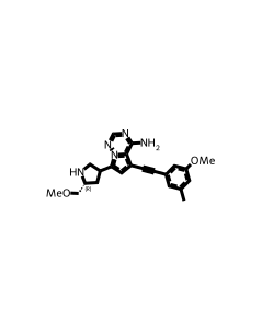 COC[C@H]1CC(c2cc(C#Cc3cc(C)cc(OC)c3)c3c(N)ncnn23)CN1